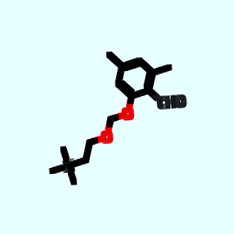 Cc1cc(C)c(C=O)c(OCOCC[Si](C)(C)C)c1